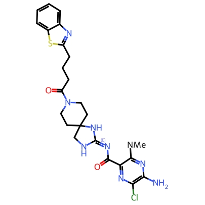 CNc1nc(N)c(Cl)nc1C(=O)/N=C1\NCC2(CCN(C(=O)CCCc3nc4ccccc4s3)CC2)N1